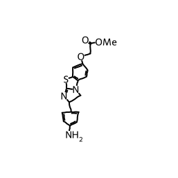 COC(=O)COc1ccc2c(c1)SC1=NC(c3ccc(N)cc3)CN12